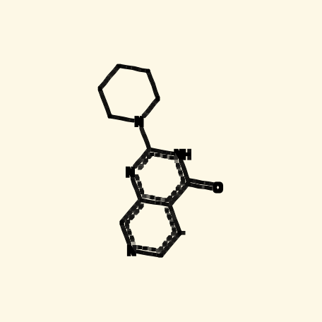 O=c1[nH]c(N2CCCCC2)nc2cnc[c]c12